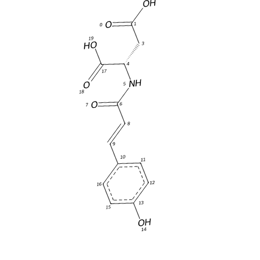 O=C(O)C[C@H](NC(=O)C=Cc1ccc(O)cc1)C(=O)O